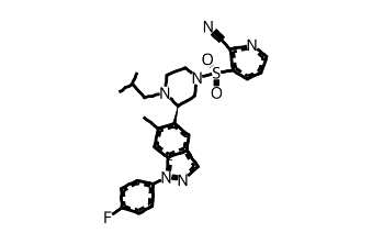 Cc1cc2c(cnn2-c2ccc(F)cc2)cc1[C@@H]1CN(S(=O)(=O)c2cccnc2C#N)CCN1CC(C)C